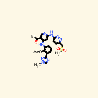 CCC(=O)c1cnc(Nc2ccc(CS(C)(=O)=O)nn2)cc1Nc1cccc(-c2ncn(C)n2)c1OC